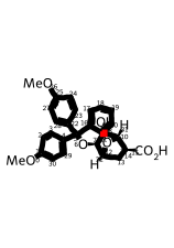 COc1ccc(C(O[C@H]2[C@@H](O)[C@H]3O[C@@H]2C[C@@H]3C(=O)O)(c2ccccc2)c2ccc(OC)cc2)cc1